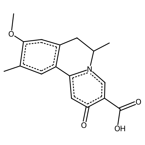 COc1cc2c(cc1C)-c1cc(=O)c(C(=O)O)cn1C(C)C2